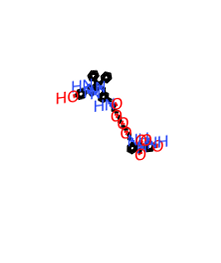 N=c1c2c(-c3ccccc3)c(-c3ccccc3)n(Cc3cccc(CNC(=O)CCOCCOCCOCCNc4cccc5c4C(=O)N(C4CCC(=O)NC4=O)C5=O)c3)c2ncn1C1CCC(O)CC1